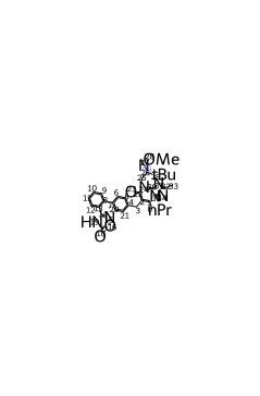 CCCc1c(Cc2ccc(-c3ccccc3-c3noc(=O)[nH]3)cc2)c(=O)n(C/C(=N/OC)C(C)(C)C)c2nc(C)nn12